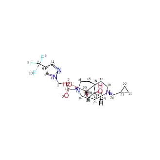 O=C(CCn1cc(C(F)(F)F)cn1)N1CC[C@]23CCN(CC4CC4)[C@H](Cc4ccc(O)cc42)[C@]3(O)CC1